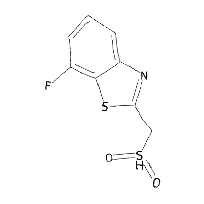 O=[SH](=O)Cc1nc2cccc(F)c2s1